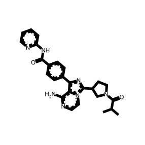 CC(C)C(=O)N1CCC(c2nc(-c3ccc(C(=O)Nc4ccccn4)cc3)c3c(N)nccn23)C1